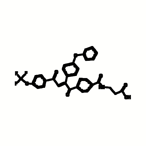 O=C(O)CCNC(=O)c1ccc(C(=O)C(=CC(=O)c2ccc(OC(F)(F)F)cc2)c2ccc(Oc3ccccc3)cc2)cc1